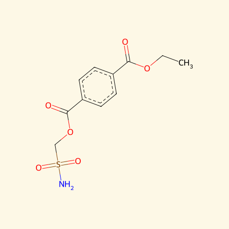 CCOC(=O)c1ccc(C(=O)OCS(N)(=O)=O)cc1